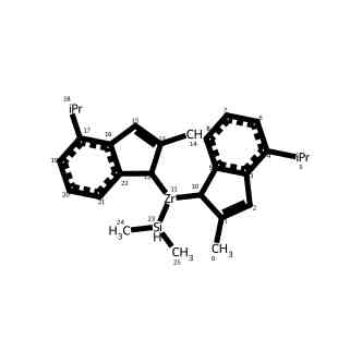 CC1=Cc2c(C(C)C)cccc2[CH]1[Zr]([CH]1C(C)=Cc2c(C(C)C)cccc21)[SiH](C)C